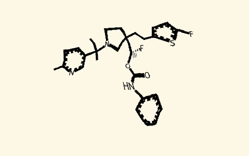 Cc1ccc(C(C)(C)N2CCC(CCc3ccc(F)s3)([C@H](F)OC(=O)Nc3ccccc3)C2)cn1